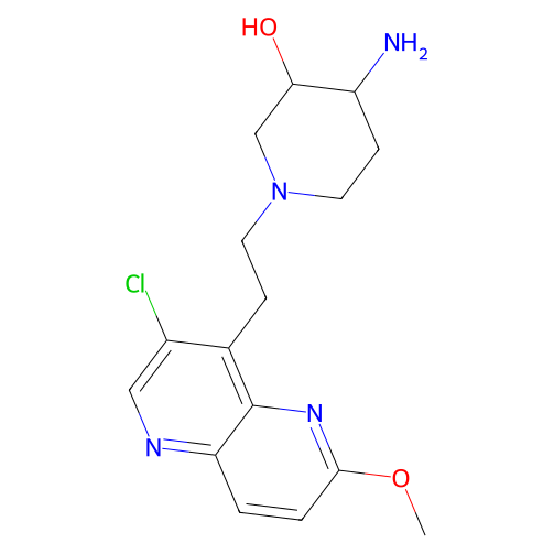 COc1ccc2ncc(Cl)c(CCN3CCC(N)C(O)C3)c2n1